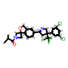 CC(C)C(=O)N1CC2(C1)OCc1cc(C3=NCC(c4cc(Cl)cc(Cl)c4)(C(F)(F)F)C3)ccc12